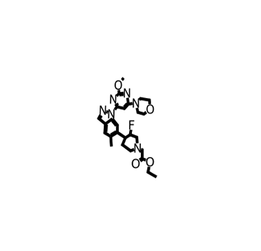 CCOC(=O)CN1CCC(c2cc3c(cnn3-c3cc(N4CCOCC4)nc(OC)n3)cc2C)C(F)C1